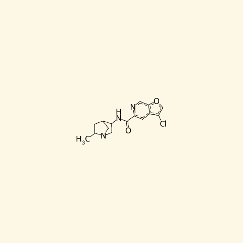 CC1CC2CN1CC2NC(=O)c1cc2c(Cl)coc2cn1